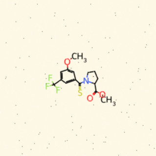 COC(=O)C1CCCN1C(=S)c1cc(OC)cc(C(F)(F)F)c1